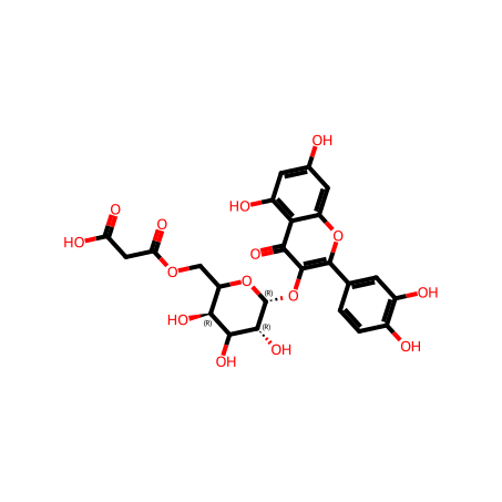 O=C(O)CC(=O)OCC1O[C@H](Oc2c(-c3ccc(O)c(O)c3)oc3cc(O)cc(O)c3c2=O)[C@H](O)C(O)[C@H]1O